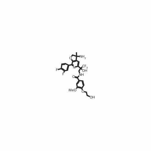 COc1cc(C(=O)NCC(O)(c2cc3c(c(-c4ccc(F)c(F)c4)n2)OCC3(C)N)C(F)(F)F)ccc1OCCO